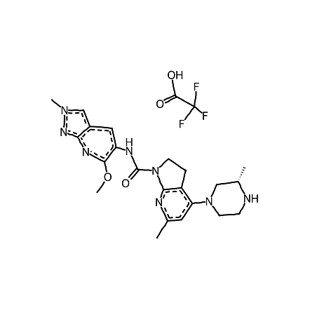 COc1nc2nn(C)cc2cc1NC(=O)N1CCc2c(N3CCN[C@@H](C)C3)cc(C)nc21.O=C(O)C(F)(F)F